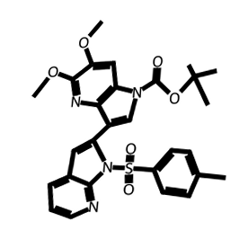 COc1cc2c(nc1OC)c(-c1cc3cccnc3n1S(=O)(=O)c1ccc(C)cc1)cn2C(=O)OC(C)(C)C